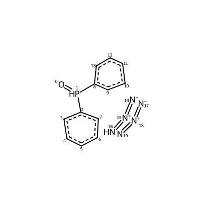 O=[PH](c1ccccc1)c1ccccc1.[N-]=[N+]=N.[N-]=[N+]=[N-]